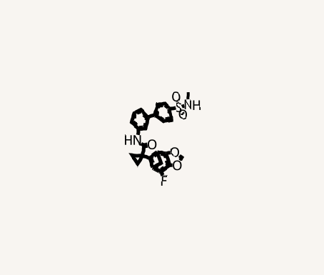 CNS(=O)(=O)c1ccc(-c2cccc(NC(=O)C3(c4c5c(F)c6c(c4C5)OCO6)CC3)c2)cc1